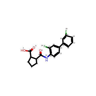 O=C(O)C1CCCC1C(=O)Nc1ccc(-c2cccc(F)c2)cc1F